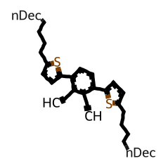 C#Cc1c(-c2ccc(CCCCCCCCCCCCCC)s2)ccc(-c2ccc(CCCCCCCCCCCCCC)s2)c1C#C